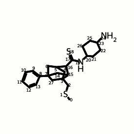 CSCC12CC3CC(c4ccccc4)(CC1C3C(=S)NC1CCC(N)CC1)C2